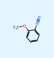 N#[N+]c1ccccc1OC(F)(F)F